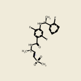 C[C@H](/C=C/S(C)(=O)=O)NC(=O)c1cc(F)c(N[C@@H](C)c2ccccc2F)cc1F